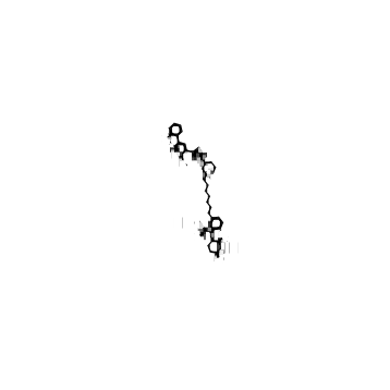 Cn1c(=O)n(C2CCC(=O)NC2=O)c2cccc(CCCCCCCN3CCCC(n4cc(-c5cc(-c6ccccc6O)nnc5N)cn4)C3)c21